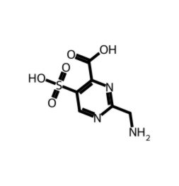 NCc1ncc(S(=O)(=O)O)c(C(=O)O)n1